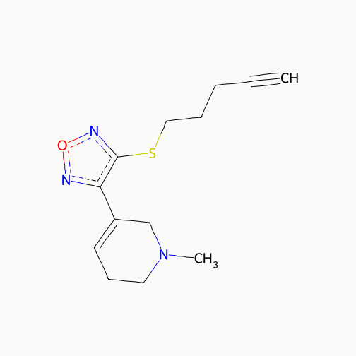 C#CCCCSc1nonc1C1=CCCN(C)C1